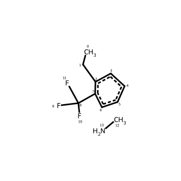 CCc1ccccc1C(F)(F)F.CN